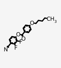 CCCCCOc1ccc(C(=O)Oc2ccc(C#N)c(F)c2F)cc1